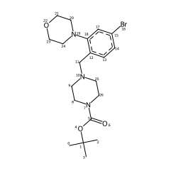 CC(C)(C)OC(=O)N1CCN(Cc2ccc(Br)cc2N2CCOCC2)CC1